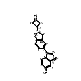 Fc1ccc2c(-c3ccc4c(c3)CN(C3CNC3)S4)c[nH]c2c1